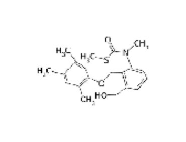 CSC(=O)N(C)c1cccc(CO)c1COc1cc(C)c(C)cc1C